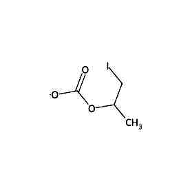 CC(CI)OC([O])=O